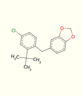 CC(C)(C)c1cc(Cl)ccc1Cc1ccc2c(c1)OCO2